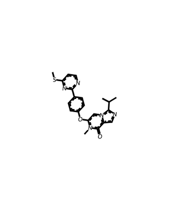 CSc1ccnc(-c2ccc(Oc3cn4c(C(C)C)ncc4c(=O)n3C)cc2)n1